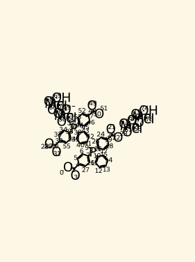 COC(=O)c1ccc([P+](C)(c2ccccc2)c2ccc(C(=O)OC)cc2)cc1.COC(=O)c1ccc([P+](C)(c2ccccc2)c2ccc(C(=O)OC)cc2)cc1.[O]=[Mn](=[O])([O-])[Cl].[O]=[Mn](=[O])([O-])[Cl].[O]=[Mn](=[O])([OH])[Cl].[O]=[Mn](=[O])([OH])[Cl]